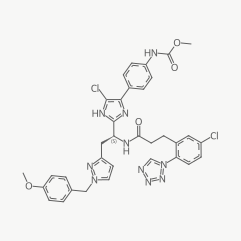 COC(=O)Nc1ccc(-c2nc([C@H](Cc3ccn(Cc4ccc(OC)cc4)n3)NC(=O)CCc3cc(Cl)ccc3-n3cnnn3)[nH]c2Cl)cc1